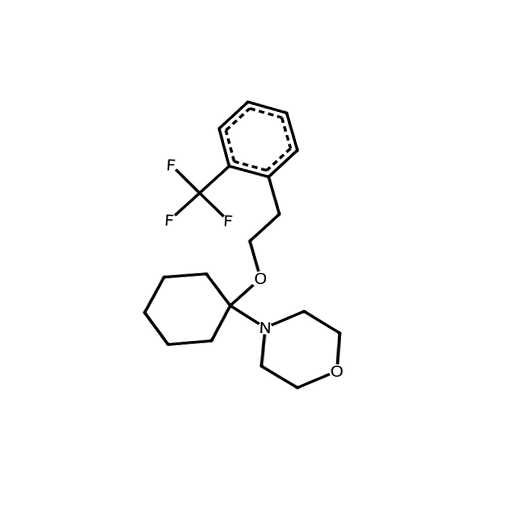 FC(F)(F)c1ccccc1CCOC1(N2CCOCC2)CCCCC1